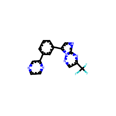 FC(F)(F)c1cnn2c(-c3cccc(-c4cnccn4)c3)cnc2n1